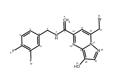 C=C(NCc1ccc(F)c(F)c1)c1cc(CBr)n2ncc(O)c2n1